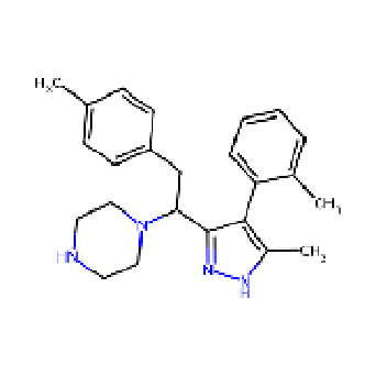 Cc1ccc(CC(c2n[nH]c(C)c2-c2ccccc2C)N2CCNCC2)cc1